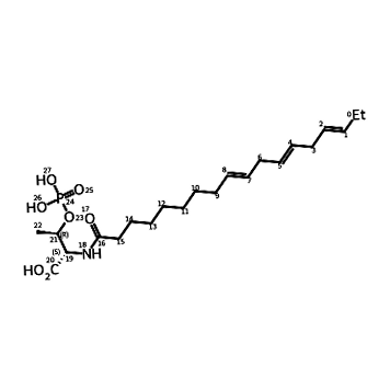 CCC=CCC=CCC=CCCCCCCCC(=O)N[C@H](C(=O)O)[C@@H](C)OP(=O)(O)O